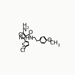 COc1ccc(CCNC(=O)c2c(-c3ccc(Cl)s3)noc2N)cc1